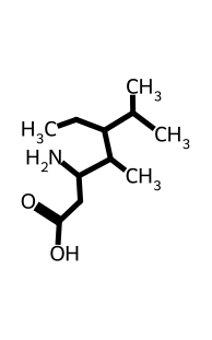 CCC(C(C)C)C(C)C(N)CC(=O)O